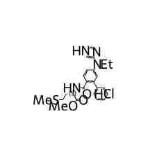 CCN(c1ccc(C(=O)N[C@@H](CCSC)C(=O)OC)c(-c2ccccc2)c1)c1c[nH]cn1.Cl